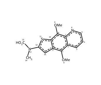 COc1c2cccnc2c(OC)c2sc(N(C)C(=O)O)cc12